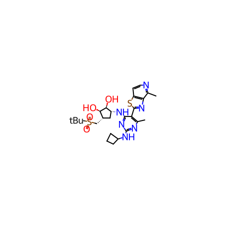 Cc1nc(NC2CCC2)nc(N[C@@H]2C[C@H](CS(=O)(=O)C(C)(C)C)[C@@H](O)[C@H]2O)c1-c1nc2c(C)nccc2s1